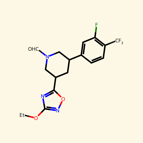 CCOc1noc(C2CC(c3ccc(C(F)(F)F)c(F)c3)CN(C=O)C2)n1